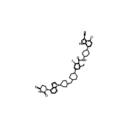 N#Cc1c[nH]c2c(N3CCC(NC(=O)c4c(F)cc(N5CCC(CN6CCC(n7ccc8c(N9CCC(=O)NC9=O)cccc87)CC6)CC5)cc4F)CC3)ccc(Cl)c12